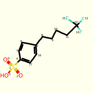 O=S(=O)(O)c1ccc(CCCCC(F)(F)F)cc1